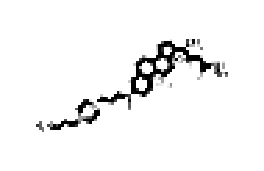 CC(C)NC(=O)CC[C@@H](C)C1CCC2C3CCC4C[C@@H](NCCCN5CCN(CCCN)CC5)CC[C@]4(C)C3CC[C@@]21C